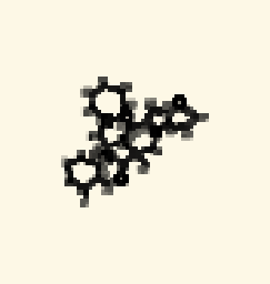 CC1CCCC(NC(=O)C2(C)Cn3c(cc4occc43)C(=O)N2CCN2CCCCCC2)C1C